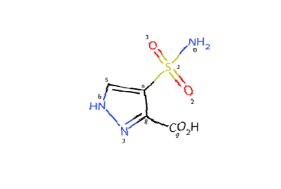 NS(=O)(=O)c1c[nH]nc1C(=O)O